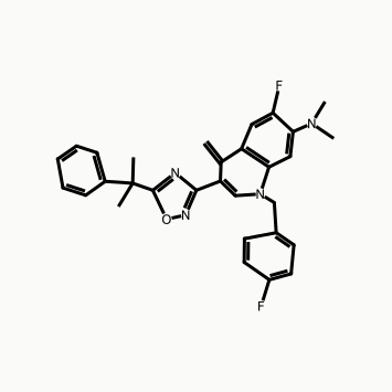 C=C1C(c2noc(C(C)(C)c3ccccc3)n2)=CN(Cc2ccc(F)cc2)c2cc(N(C)C)c(F)cc21